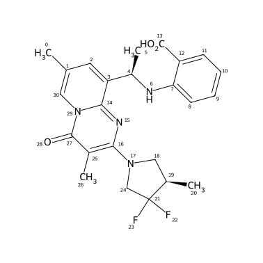 Cc1cc([C@@H](C)Nc2ccccc2C(=O)O)c2nc(N3C[C@@H](C)C(F)(F)C3)c(C)c(=O)n2c1